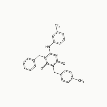 Cc1ccc(Cn2c(=O)nc(Nc3cccc(C(F)(F)F)c3)n(Cc3ccccc3)c2=O)cc1